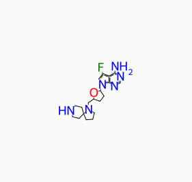 Nc1ncnc2c1c(F)cn2C1CCC(CN2CCCC23CCNCC3)O1